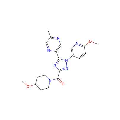 COc1ccc(-n2nc(C(=O)N3CCC(OC)CC3)nc2-c2cnc(C)cn2)cn1